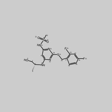 C[C@H](CO)Nc1cc(NS(C)(=O)=O)nc(SCc2ccc(F)cc2F)n1